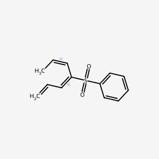 C=C/C=C(\C=C/C)S(=O)(=O)c1ccccc1